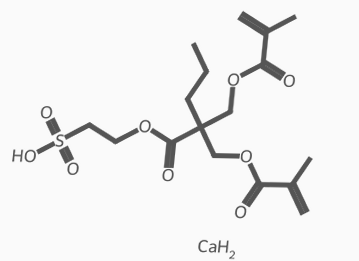 C=C(C)C(=O)OCC(CCC)(COC(=O)C(=C)C)C(=O)OCCS(=O)(=O)O.[CaH2]